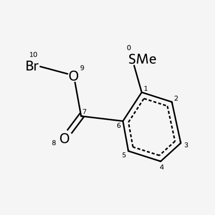 CSc1ccccc1C(=O)OBr